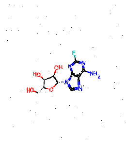 Nc1nc(F)nc2c1ncn2[C@@H]1O[C@H](CO)C(O)[C@H]1O